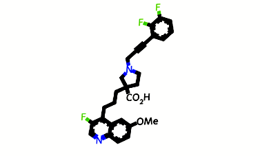 COc1ccc2ncc(F)c(CCCC3(C(=O)O)CCN(CC#Cc4cccc(F)c4F)C3)c2c1